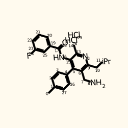 Cc1ccc(-c2c(CN)c(CC(C)C)nc(C)c2NC(=O)c2cccc(F)c2)cc1.Cl.Cl